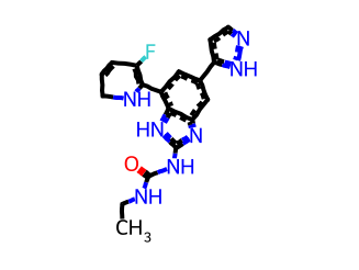 CCNC(=O)Nc1nc2cc(-c3ccn[nH]3)cc(C3=C(F)C=CCN3)c2[nH]1